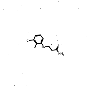 Cc1c(Cl)cccc1NCCC(N)=S